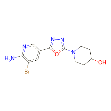 Nc1ncc(-c2nnc(N3CCC(O)CC3)o2)cc1Br